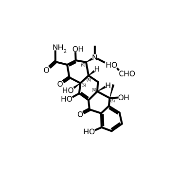 CN(C)[C@@H]1C(O)=C(C(N)=O)C(=O)[C@@]2(O)C(O)=C3C(=O)c4c(O)cccc4[C@@](C)(O)[C@H]3C[C@@H]12.O=CO